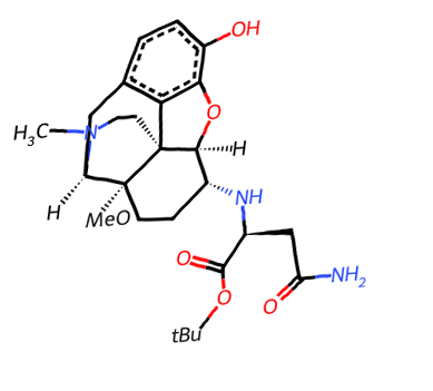 CO[C@@]12CC[C@@H](N[C@@H](CC(N)=O)C(=O)OC(C)(C)C)[C@@H]3Oc4c(O)ccc5c4[C@@]31CCN(C)[C@@H]2C5